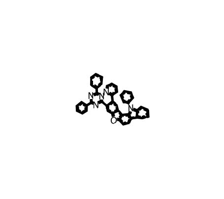 c1ccc(-c2nc(-c3ccccc3)nc(-c3cc4oc5ccc6c7ccccc7n(-c7ccccc7)c6c5c4cc3-c3ccccn3)n2)cc1